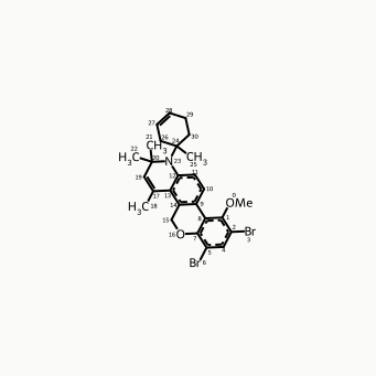 COc1c(Br)cc(Br)c2c1-c1ccc3c(c1CO2)C(C)=CC(C)(C)N3C1(C)CC=CCC1